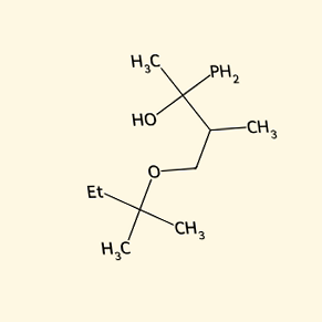 CCC(C)(C)OCC(C)C(C)(O)P